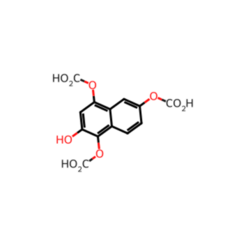 O=C(O)Oc1ccc2c(OC(=O)O)c(O)cc(OC(=O)O)c2c1